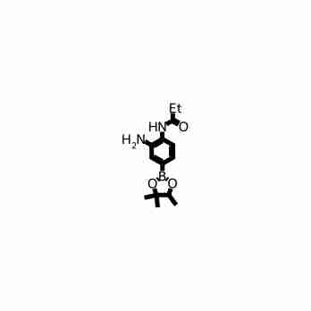 CCC(=O)Nc1ccc(B2OC(C)C(C)(C)O2)cc1N